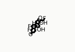 CC1C[C@H]2[C@@H]3CC(F)C4=C(F)C(=O)C=C[C@]4(C)[C@@]3(F)C(O)C[C@]2(C)[C@@]1(O)C(=O)CF